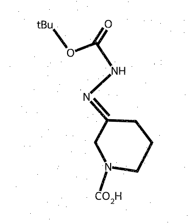 CC(C)(C)OC(=O)NN=C1CCCN(C(=O)O)C1